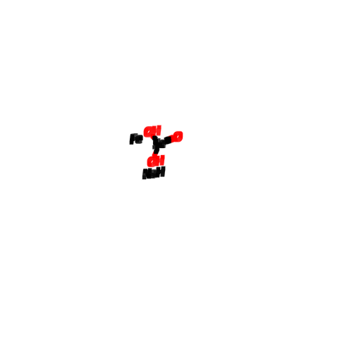 O=[Se](O)O.[Fe].[NaH]